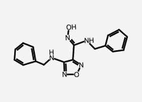 O/N=C(\NCc1ccccc1)c1nonc1NCc1ccccc1